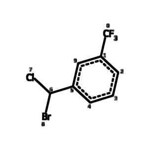 FC(F)(F)c1cccc(C(Cl)Br)c1